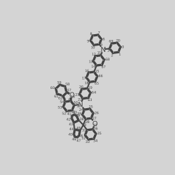 c1ccc(N(c2ccccc2)c2ccc(-c3ccc(-c4ccc(N(c5ccc6c(c5)C5(c7ccccc7O6)c6ccccc6-c6ccccc65)c5cccc6c5oc5ccccc56)cc4)cc3)cc2)cc1